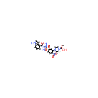 O=C(NNS(=O)(=O)c1ccc([N+](=O)[O-])c(N2CCN(C(=O)O)CC2)c1)c1cccc2[nH]ccc12